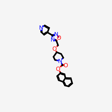 O=C(Oc1ccc2ccccc2c1)N1CCC(OCc2nc(-c3ccncc3)no2)CC1